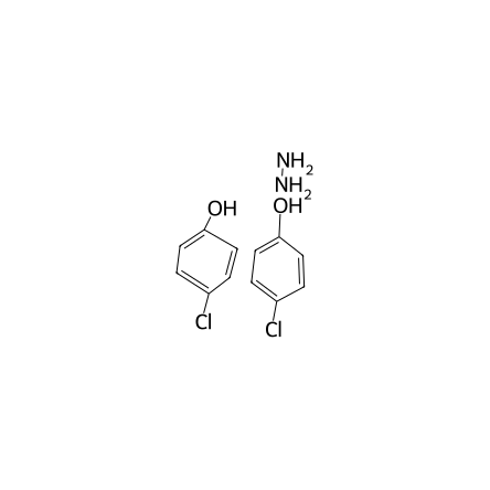 NN.Oc1ccc(Cl)cc1.Oc1ccc(Cl)cc1